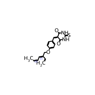 C=C/C(=C\C=C/C)COc1ccc(C=C2C(=O)NC(=S)NC2=O)cc1